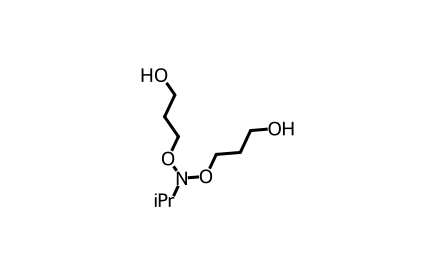 CC(C)N(OCCCO)OCCCO